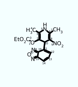 CCOC(=O)OC1=C(C)NC(C)=C([N+](=O)[O-])C1c1cccc2nonc12